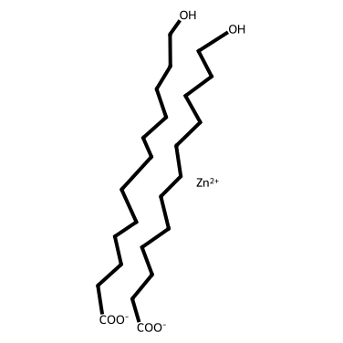 O=C([O-])CCCCCCCCCCCO.O=C([O-])CCCCCCCCCCCO.[Zn+2]